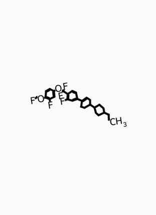 CCCC1CCC(C2CC=C(c3ccc(C(F)(F)Oc4ccc(OCF)c(F)c4)c(F)c3)CC2)CC1